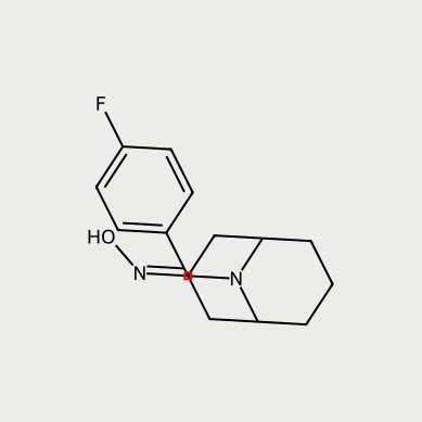 ON=C1CC2CCCC(C1)N2Cc1ccc(F)cc1